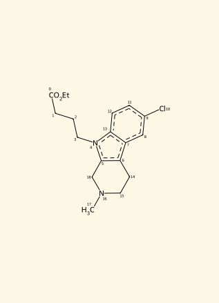 CCOC(=O)CCCn1c2c(c3cc(Cl)ccc31)CCN(C)C2